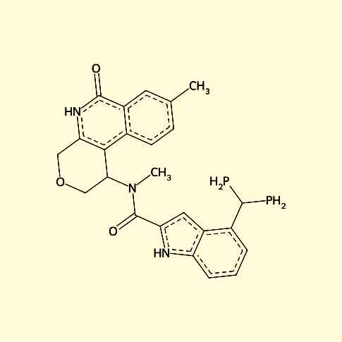 Cc1ccc2c3c([nH]c(=O)c2c1)COCC3N(C)C(=O)c1cc2c(C(P)P)cccc2[nH]1